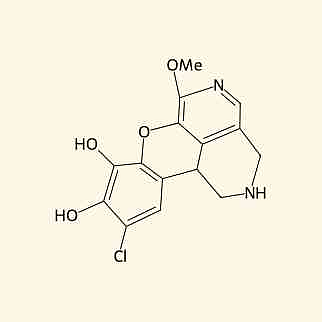 COc1ncc2c3c1Oc1c(cc(Cl)c(O)c1O)C3CNC2